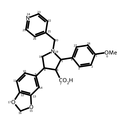 COc1ccc(C2C(C(=O)O)C(c3ccc4c(c3)OCO4)CN2Cc2ccncc2)cc1